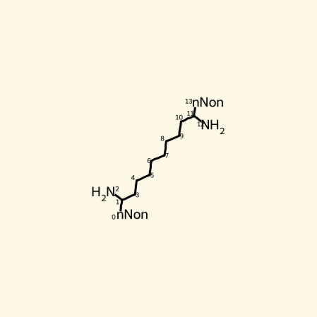 CCCCCCCCCC(N)CCCCCCCCC(N)CCCCCCCCC